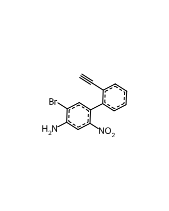 C#Cc1ccccc1-c1cc(Br)c(N)cc1[N+](=O)[O-]